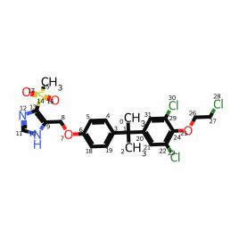 CC(C)(c1ccc(OCc2[nH]cnc2S(C)(=O)=O)cc1)c1cc(Cl)c(OCCCl)c(Cl)c1